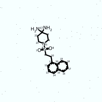 NC1(N)CCN(S(=O)(=O)CCc2cccc3ccccc23)CC1